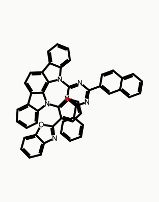 C1=CCC(c2nc(-c3ccc4ccccc4c3)nc(-n3c4ccccc4c4ccc5c6ccccc6n(-c6ccccc6-c6nc7ccccc7o6)c5c43)n2)C=C1